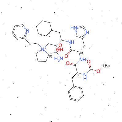 CC(C)(C)OC(=O)N[C@@H](Cc1ccccc1)C(=O)N[C@@H](Cc1c[nH]cn1)C(=O)NC(CC1CCCCC1)C(O)C[N+]1(CCc2ccccn2)CCC[C@H]1C(N)=O